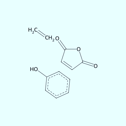 C=C.O=C1C=CC(=O)O1.Oc1ccccc1